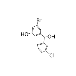 Oc1cc(Br)cc(C(O)c2cccc(Cl)c2)c1